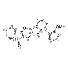 COc1ccccc1-c1cccc2c1O[C@@H](CN1C(=O)c3ccccc3C1=O)C2